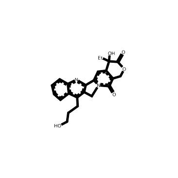 CCC1(O)C(=O)OCc2c1cc1n(c2=O)Cc2c-1nc1ccccc1c2CCCO